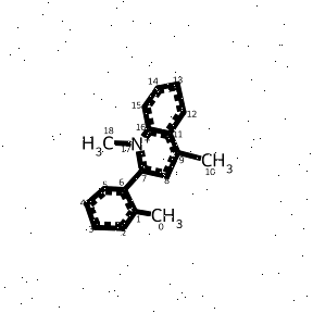 Cc1ccccc1-c1cc(C)c2ccccc2[n+]1C